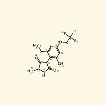 CCc1cc(OCC(F)(F)F)cc(C)c1C1C(=O)NC(C)C1=O